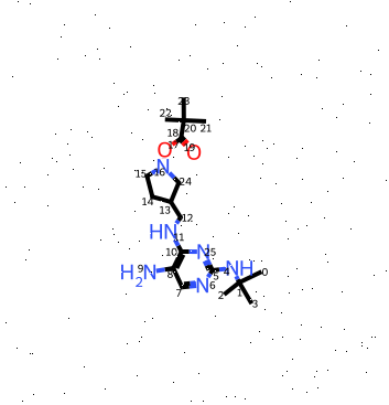 CC(C)(C)Nc1ncc(N)c(NCC2CCN(OC(=O)C(C)(C)C)C2)n1